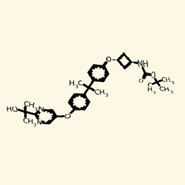 CC(C)(C)OC(=O)N[C@H]1C[C@H](Oc2ccc(C(C)(C)c3ccc(Oc4cnc(C(C)(C)O)nc4)cc3)cc2)C1